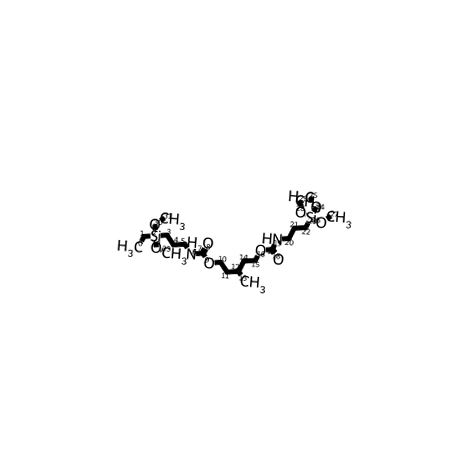 CC[Si](CCCNC(=O)OCCC(C)CCOC(=O)NCCC[Si](OC)(OC)OC)(OC)OC